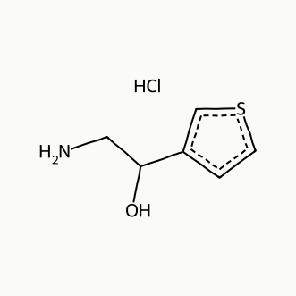 Cl.NCC(O)c1ccsc1